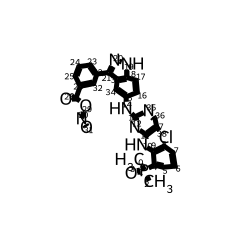 CP(C)(=O)c1ccccc1Nc1nc(Nc2ccc3[nH]nc(-c4cccc(C(=O)ON=O)c4)c3c2)ncc1Cl